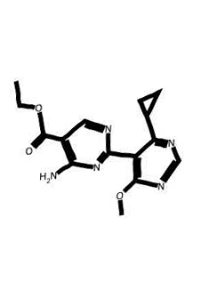 CCOC(=O)c1cnc(-c2c(OC)ncnc2C2CC2)nc1N